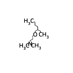 CCCCC(CC)COCCCN(C)C